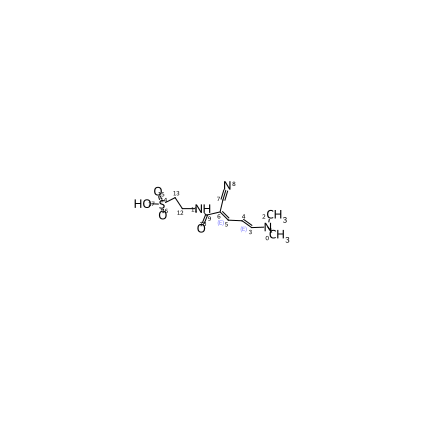 CN(C)/C=C/C=C(\C#N)C(=O)NCCS(=O)(=O)O